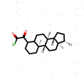 CC[C@H]1CC[C@H]2[C@@H]3CCC4C(C(=O)C(=O)Br)CCC[C@]4(C)[C@H]3CC[C@]12C